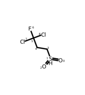 O=[SH](=O)CCC(F)(Cl)Cl